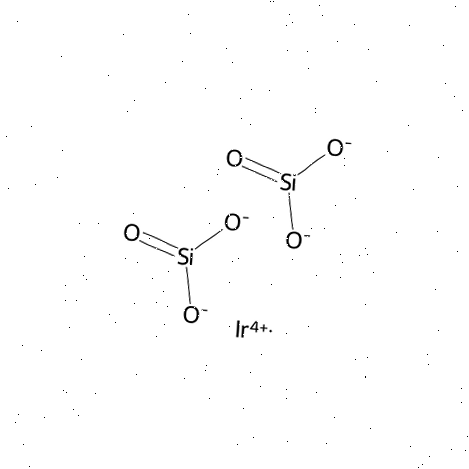 O=[Si]([O-])[O-].O=[Si]([O-])[O-].[Ir+4]